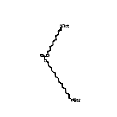 CCCCCCCCC=CCCCCCCCCCCCCOC(=O)OCCCCCCCCC=CCCCCCCCC